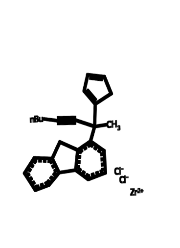 CCCCC#CC(C)(C1=CC=CC1)c1cccc2c1Cc1ccccc1-2.[Cl-].[Cl-].[Zr+2]